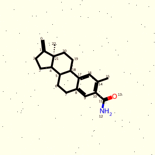 C=C1CCC2C3CCc4cc(C(N)=O)c(C)cc4C3CC[C@]12C